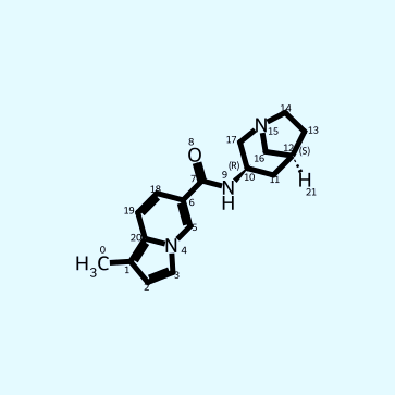 Cc1ccn2cc(C(=O)N[C@@H]3C[C@@H]4CCN(C4)C3)ccc12